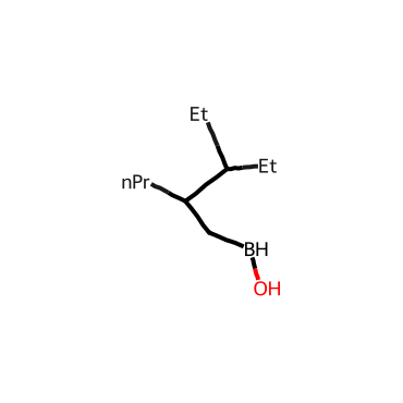 CCCC(CBO)C(CC)CC